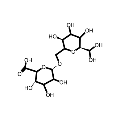 O=C(O)C1O[C@H](OCC2O[C@H](C(O)O)C(O)C(O)[C@@H]2O)C(O)C(O)[C@@H]1O